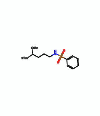 CCCCCCC(CCCNS(=O)(=O)c1ccccc1)OC